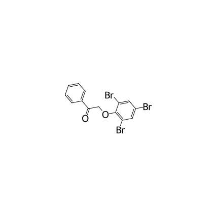 O=C(COc1c(Br)cc(Br)cc1Br)c1ccccc1